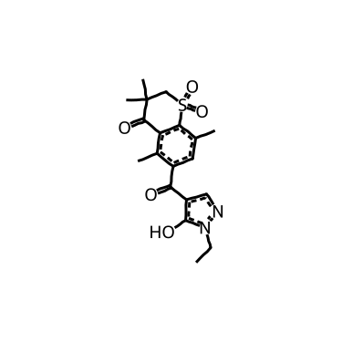 CCn1ncc(C(=O)c2cc(C)c3c(c2C)C(=O)C(C)(C)CS3(=O)=O)c1O